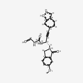 COc1ccc2c(c1)C(=O)N(C[C@@H](C#Cc1ccc3cnoc3c1)NC(=O)NC=O)C2